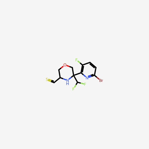 Fc1ccc(Br)nc1C1(C(F)F)COCC(C=S)N1